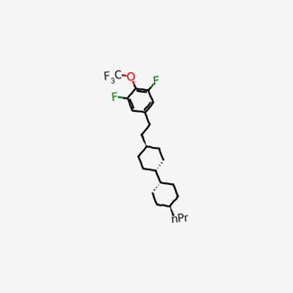 CCC[C@H]1CC[C@H]([C@H]2CC[C@H](CCc3cc(F)c(OC(F)(F)F)c(F)c3)CC2)CC1